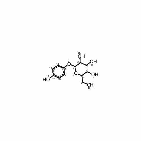 CCC(CO)O[C@@H](Oc1ccc(O)cc1)[C@@H](O)CO